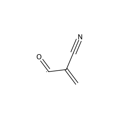 C=C([C]=O)C#N